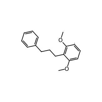 COc1[c]ccc(OC)c1CCCc1ccccc1